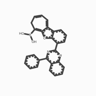 OB(O)C1=c2oc3c(-c4nc(-c5ccccc5)c5ccccc5n4)cccc3c2=CC=CC1